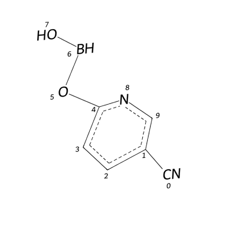 N#Cc1ccc(OBO)nc1